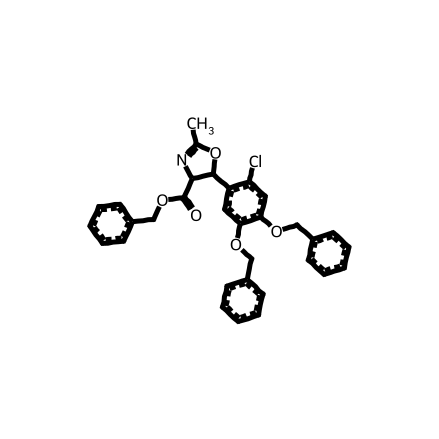 CC1=NC(C(=O)OCc2ccccc2)C(c2cc(OCc3ccccc3)c(OCc3ccccc3)cc2Cl)O1